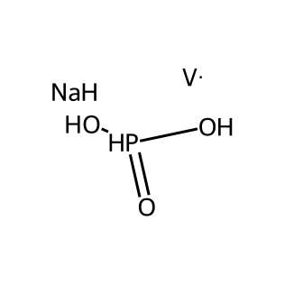 O=[PH](O)O.[NaH].[V]